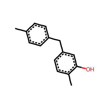 Cc1ccc(Cc2ccc(C)c(O)c2)cc1